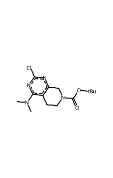 CN(C)c1nc(Cl)nc2c1CCN(C(=O)OC(C)(C)C)C2